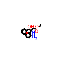 CCOC(=O)C[C@](N)(c1ccccc1)[C@H](O)c1ccccc1